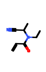 C=CC(=O)N(CC)C(C)C#N